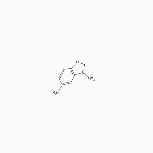 Nc1ccc2c(c1)N(N)CO2